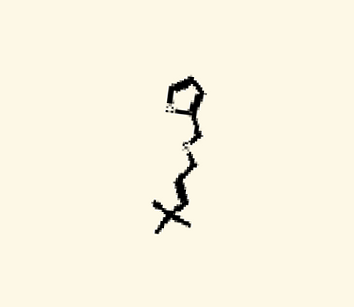 CC(C)(C)/C=C/CSCc1ccco1